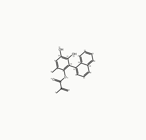 C=C(C)C(=O)Oc1c(C)cc(O)c(O)c1-c1cccc2ccccc12